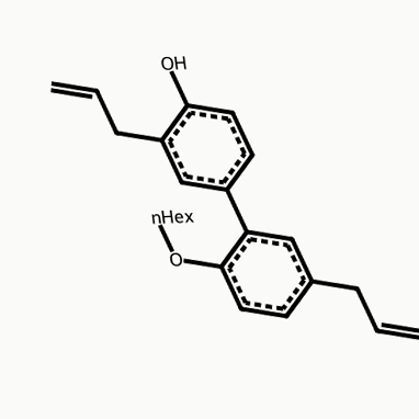 C=CCc1ccc(OCCCCCC)c(-c2ccc(O)c(CC=C)c2)c1